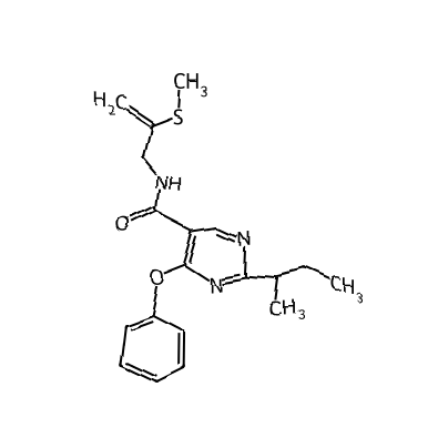 C=C(CNC(=O)c1cnc(C(C)CC)nc1Oc1ccccc1)SC